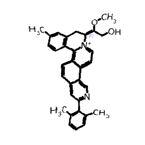 CO/C(CO)=C1\Cc2cc(C)ccc2-c2c3ccc4cc(-c5c(C)cccc5C)ncc4c3cc[n+]21